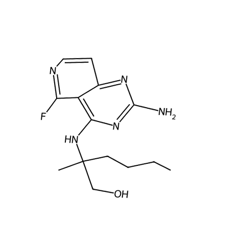 CCCCC(C)(CO)Nc1nc(N)nc2ccnc(F)c12